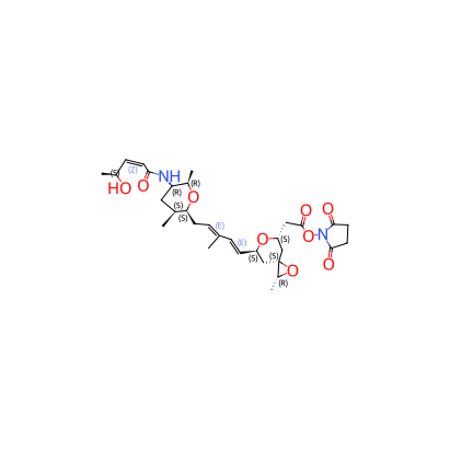 CC(/C=C/[C@@H]1C[C@]2(C[C@@H](CC(=O)ON3C(=O)CCC3=O)O1)O[C@@H]2C)=C\C[C@@H]1O[C@H](C)[C@H](NC(=O)/C=C\[C@H](C)O)C[C@@H]1C